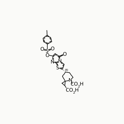 Cc1ccc(S(=O)(=O)Oc2cc(=O)n3cc([C@@H]4CCN(C(=O)O)C5(CC5C(=O)O)C4)sc3n2)cc1